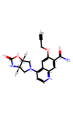 C#CCOc1cc2c(N3C[C@@H]4NC(=O)O[C@@H]4C3)ccnc2cc1C(N)=O